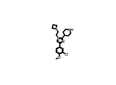 COc1ccc(-c2cn(CCN3CCC3)c(C3CCNCC3)n2)cc1Cl